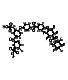 COS(=O)(=O)c1cc(C(=O)c2ccc(Oc3ccc(S(=O)(=O)c4ccc(Oc5c(F)c(F)c(S(=O)(=O)c6c(F)c(F)c(C)c(F)c6F)c(F)c5F)cc4)cc3)c(CS(=O)(=O)O)c2)ccc1C